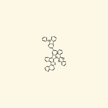 c1ccc(-c2nc3ccccc3nc2-n2c3ccc(-c4ccc5c(c4)c4ccccc4n5-c4ccccc4)cc3c3c4ccccc4c4c(sc5ccc6ccccc6c54)c32)cc1